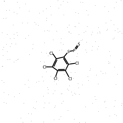 S=PSc1c(Cl)c(Cl)c(Cl)c(Cl)c1Cl